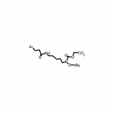 CCCCON(CCCCCNC(=O)CCC(C)=O)C(=O)OCC(Cl)(Cl)Cl